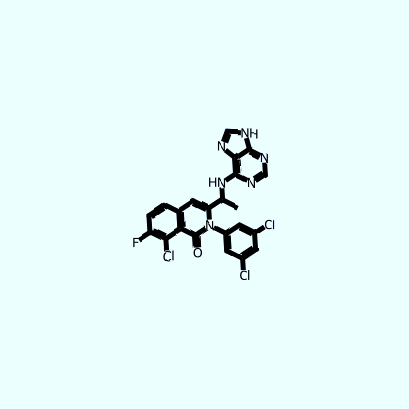 CC(Nc1ncnc2[nH]cnc12)c1cc2ccc(F)c(Cl)c2c(=O)n1-c1cc(Cl)cc(Cl)c1